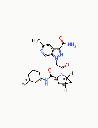 CC[C@H]1CCC[C@@H](NC(=O)[C@@H]2C[C@H]3C[C@H]3N2C(=O)Cn2nc(C(N)=O)c3cc(C)ncc32)C1